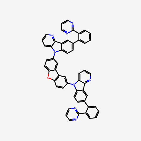 c1cnc(-c2ccccc2-c2ccc3c(c2)c2ncccc2n3-c2ccc3oc4ccc(-n5c6ccc(-c7ccccc7-c7ncccn7)cc6c6ncccc65)cc4c3c2)nc1